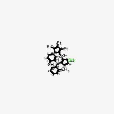 CCC1=C(CC)C(CC)=[C]([Zr+2][C]2=C([SiH](c3ccccc3C)c3ccccc3C)C=CC2)C1.[Cl-].[Cl-]